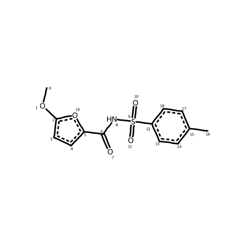 COc1ccc(C(=O)NS(=O)(=O)c2ccc(C)cc2)o1